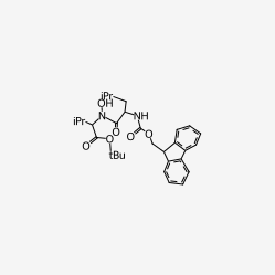 CC(C)CC(NC(=O)OCC1c2ccccc2-c2ccccc21)C(=O)N(O)C(C(=O)OC(C)(C)C)C(C)C